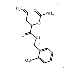 C=CCC(OC(N)=O)C(=O)NCc1ccccc1[N+](=O)[O-]